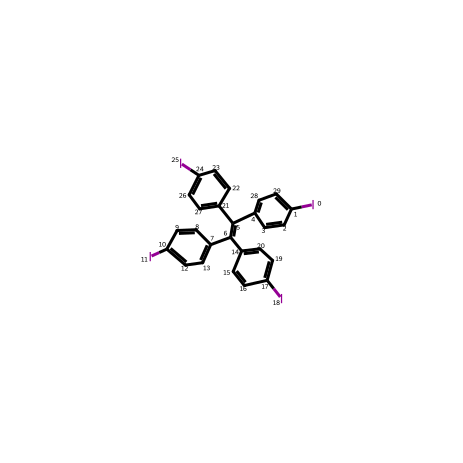 Ic1ccc(C(=C(c2ccc(I)cc2)c2ccc(I)cc2)c2ccc(I)cc2)cc1